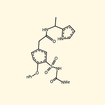 CCCOc1ccc(CC(=O)NC(C)c2ccc[nH]2)cc1S(=O)(=O)NC(=O)NC